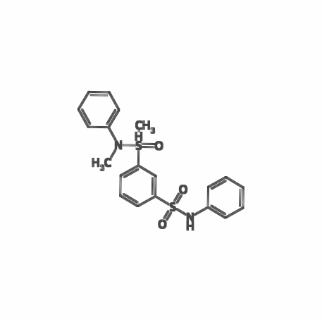 CN(c1ccccc1)[SH](C)(=O)c1cccc(S(=O)(=O)Nc2ccccc2)c1